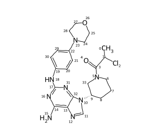 CC(Cl)C(=O)N1CCC[C@H](n2cnc3c(N)nc(Nc4ccc(N5CCOCC5)cc4)nc32)C1